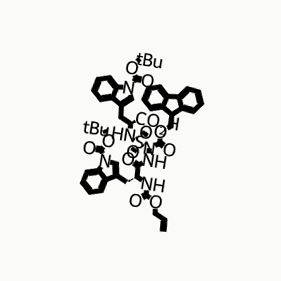 C=CCOC(=O)N[C@H](Cc1cn(C(=O)OC(C)(C)C)c2ccccc12)C(=O)NN(C(=O)OCC1c2ccccc2-c2ccccc21)S(=O)(=O)N[C@@H](Cc1cn(C(=O)OC(C)(C)C)c2ccccc12)C(=O)O